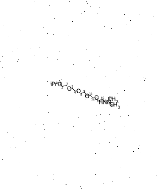 CC(C)OCCOCCOCCOCCOCCNN(C)C